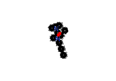 C1=CCC(c2ccc(N(c3ccc(-c4ccc(-c5ccccc5)cc4)cc3)c3ccccc3-c3cccc(N4c5ccccc5Cc5ccccc54)c3)cc2)C=C1